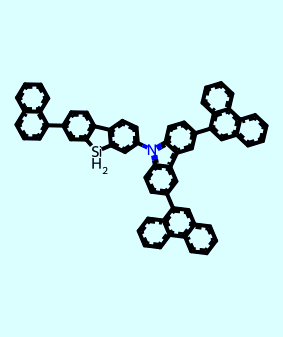 c1ccc2c(-c3ccc4c(c3)[SiH2]c3cc(-n5c6ccc(-c7cc8ccccc8c8ccccc78)cc6c6cc(-c7cc8ccccc8c8ccccc78)ccc65)ccc3-4)cccc2c1